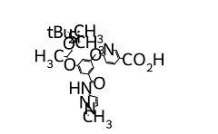 CC(CO[Si](C)(C)C(C)(C)C)Oc1cc(Oc2ccc(C(=O)O)cn2)cc(C(=O)Nc2ccn(C)n2)c1